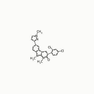 Cn1ccc(-c2ccc3c(c2)c2cc(-c4ccc(Cl)cc4Cl)c(=O)n(C)c2n3C)n1